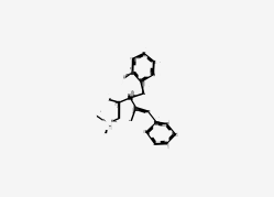 CC(=Cc1ccccc1)C(O)(Cc1ccccc1Cl)C(C)CN(C)C